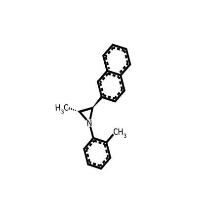 Cc1ccccc1N1[C@H](C)[C@H]1c1ccc2ccccc2c1